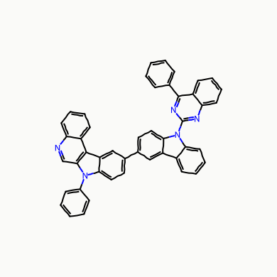 c1ccc(-c2nc(-n3c4ccccc4c4cc(-c5ccc6c(c5)c5c7ccccc7ncc5n6-c5ccccc5)ccc43)nc3ccccc23)cc1